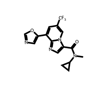 CN(C(=O)c1cnc2c(-c3cnco3)cc(C(F)(F)F)cn12)C1CC1